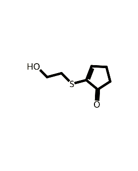 O=C1CCC=C1SCCO